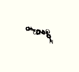 N#Cc1ccc(C(=O)N2CC3CC2CN3c2ccc(OCCCN3CCCCC3)cc2)cc1